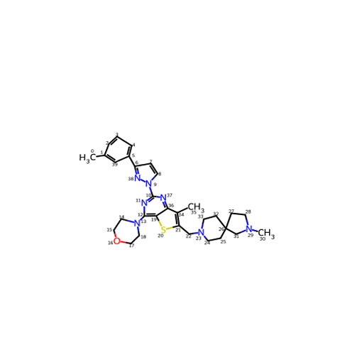 Cc1cccc(-c2ccn(-c3nc(N4CCOCC4)c4sc(CN5CCC6(CCN(C)C6)CC5)c(C)c4n3)n2)c1